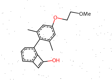 COCCOc1cc(C)c(-c2cccc3c2C(O)=C3)c(C)c1